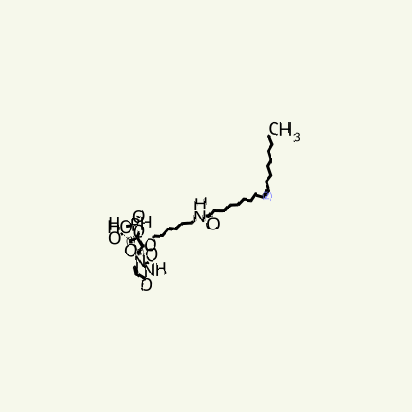 CCCCCCCC/C=C\CCCCCCCC(=O)NCCCCCCOC1C(O[PH](=O)O)[C@@H](CO)O[C@H]1n1ccc(=O)[nH]c1=O